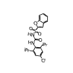 CC(C)c1cc(Cl)cc(C(C)C)c1NC(=O)NS(=O)(=O)c1cc2ccccc2o1